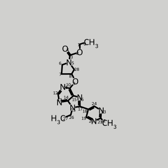 CCOC(=O)N1CCC(Oc2ncnc3c2nc(-c2cnc(C)nc2)n3CC)C1